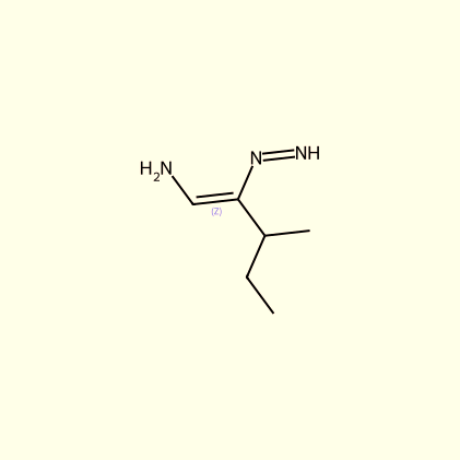 CCC(C)/C(=C/N)N=N